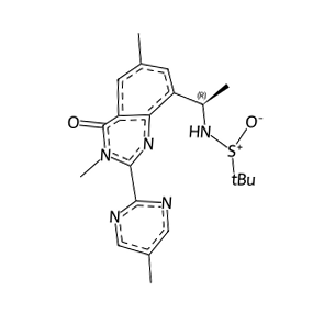 Cc1cnc(-c2nc3c([C@@H](C)N[S+]([O-])C(C)(C)C)cc(C)cc3c(=O)n2C)nc1